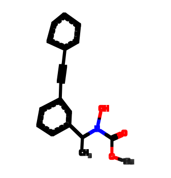 CC(c1cccc(C#Cc2ccccc2)c1)N(O)C(=O)OC(C)(C)C